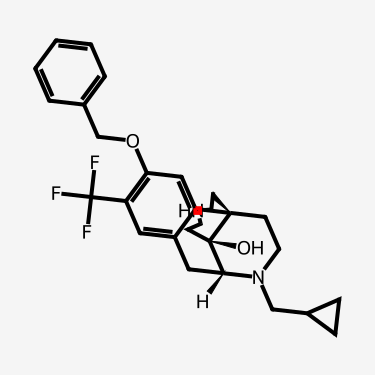 O[C@@]12CCNCC[C@@]13CCN(CC1CC1)[C@@H]2Cc1cc(C(F)(F)F)c(OCc2ccccc2)cc13